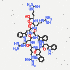 N=C(N)NCCC[C@H](NC(=O)[C@H](CCCNC(=N)N)NC(=O)[C@H](Cc1c[nH]c2ccccc12)NC(=O)[C@H](Cc1c[nH]c2ccccc12)NC(=O)[C@H](CCCNC(=N)N)NC(=O)[C@H](CCCNC(=N)N)NC(=O)[C@H](Cc1c[nH]c2ccccc12)NC(=O)[C@@H](N)Cc1c[nH]c2ccccc12)C(=O)O